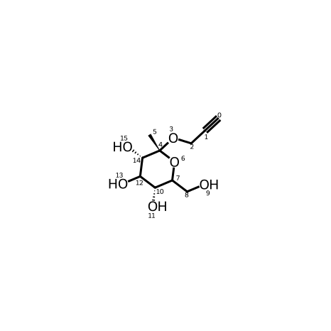 C#CCO[C@]1(C)OC(CO)[C@H](O)C(O)[C@@H]1O